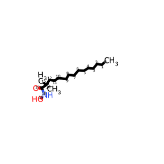 CCCCCCCCCCCCCC(C)(C)C(=O)NO